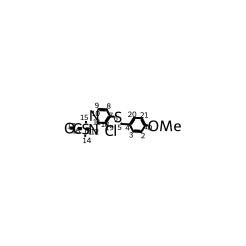 COc1ccc(CSc2ccnc(N=S(C)(C)=C=O)c2Cl)cc1